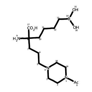 CC(=O)N1CCN(CCCC(N)(CCCCB(O)O)C(=O)O)CC1